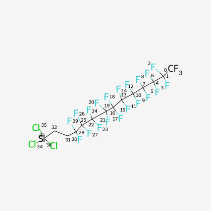 FC(F)(F)C(F)(F)C(F)(F)C(F)(F)C(F)(F)C(F)(F)C(F)(F)C(F)(F)C(F)(F)C(F)(F)C(F)(F)CC[Si](Cl)(Cl)Cl